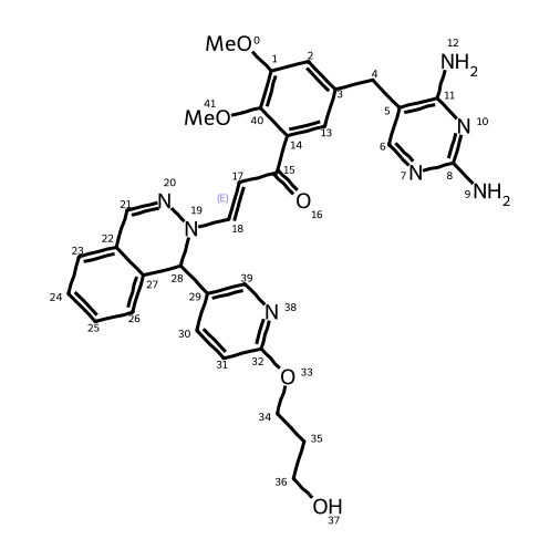 COc1cc(Cc2cnc(N)nc2N)cc(C(=O)/C=C/N2N=Cc3ccccc3C2c2ccc(OCCCO)nc2)c1OC